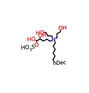 CCCCCCCCCCCCCCCC[N+](CCCO)(CCCO)CCCC(O)C(O)OS(=O)(=O)O